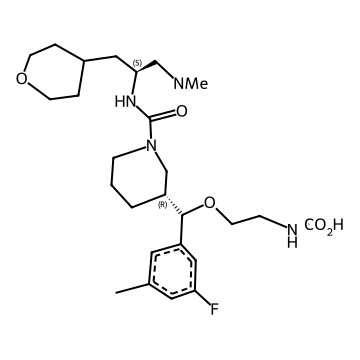 CNC[C@H](CC1CCOCC1)NC(=O)N1CCC[C@@H](C(OCCNC(=O)O)c2cc(C)cc(F)c2)C1